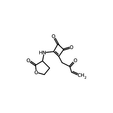 C=CC(=O)Cc1c(NC2CCOC2=O)c(=O)c1=O